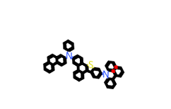 c1ccc(-c2ccccc2N(c2ccccc2)c2ccc3c(c2)sc2c4ccc(N(c5ccccc5)c5ccc6c(ccc7ccccc76)c5)cc4c4ccccc4c32)cc1